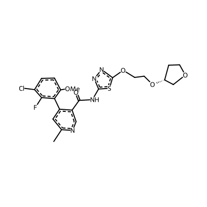 COc1ccc(Cl)c(F)c1-c1cc(C)ncc1C(=O)Nc1nnc(OCCO[C@@H]2CCOC2)s1